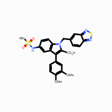 CCCCS(=O)(=O)Nc1ccc2c(c1)c(-c1ccc(OC)c(OC)c1)c(C(=O)O)n2Cc1ccc2nsnc2c1